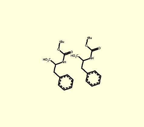 CC(C)(C)OC(=O)NC(Cc1ccccc1)C(=O)O.CC(C)(C)OC(=O)NC(Cc1ccccc1)C(=O)O